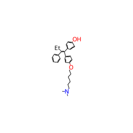 CC/C(=C(\c1ccc(O)cc1)c1ccc(OCCCCCCN(C)C)cc1)c1ccccc1